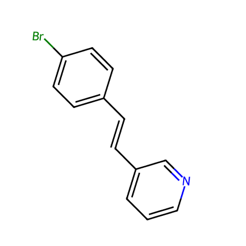 Brc1ccc(/C=C/c2cccnc2)cc1